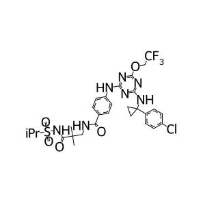 CC(C)S(=O)(=O)NC(=O)C(C)(C)CNC(=O)c1ccc(Nc2nc(NC3(c4ccc(Cl)cc4)CC3)nc(OCC(F)(F)F)n2)cc1